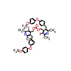 Cc1nc(C)c(Cc2ccc(Oc3ccc(OC(F)(F)F)cc3)cc2)c(COC(=O)OCc2c(I)c(C)nc(C)c2Cc2ccc(Oc3ccc(OC(F)(F)F)cc3)cc2)c1I